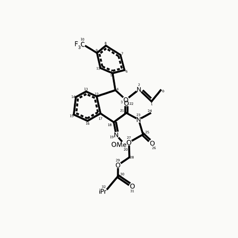 CC=NOC(c1cccc(C(F)(F)F)c1)c1ccccc1C(=NOC)C(=O)N(C)C(=O)OCOC(=O)C(C)C